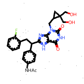 CC(=O)Nc1ccc(C(Cc2ccccc2F)c2nc3c([nH]2)c(=O)[nH]c(=O)n3CC2CC2(CO)CO)cc1